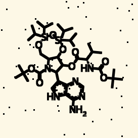 CC(C)[C@H](NC(=O)OC(C)(C)C)C(=O)OC1C2O[Si](C(C)C)(C(C)C)O[Si](C(C)C)(C(C)C)OCC2N(C(=O)OC(C)(C)C)C1c1c[nH]c2c(N)ncnc12